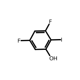 Oc1cc(F)cc(F)c1I